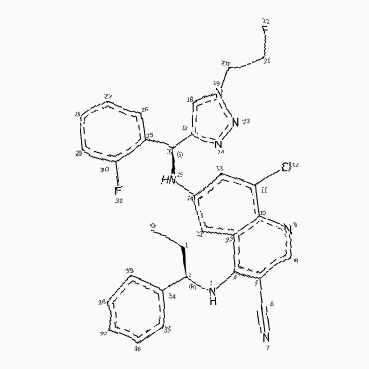 CC[C@@H](Nc1c(C#N)cnc2c(Cl)cc(N[C@H](c3cn(CCF)nn3)c3ccccc3F)cc12)c1ccccc1